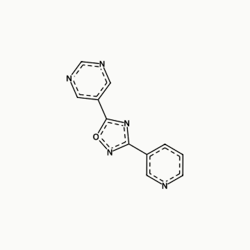 c1cncc(-c2noc(-c3cncnc3)n2)c1